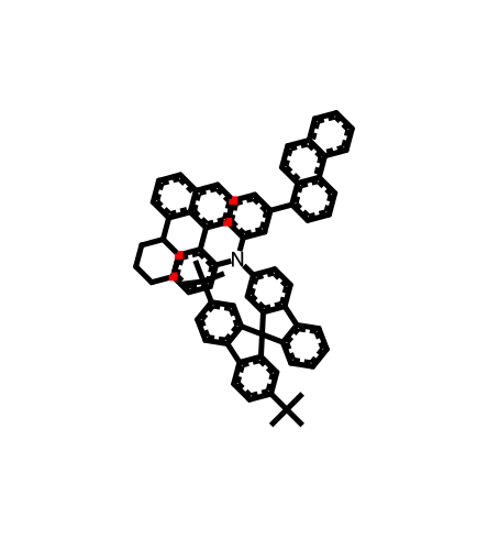 CC(C)(C)c1ccc2c(c1)C1(c3ccccc3-c3ccc(N(c4cccc(-c5cccc6c5ccc5ccccc56)c4)c4ccccc4-c4cccc5cccc(C6CCCCC6)c45)cc31)c1cc(C(C)(C)C)ccc1-2